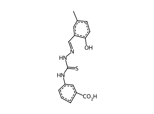 Cc1ccc(O)c(/C=N/NC(=S)Nc2cccc(C(=O)O)c2)c1